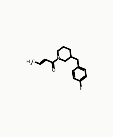 C/C=C/C(=O)N1CCCC(Cc2ccc(F)cc2)C1